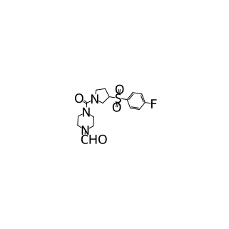 O=CN1CCN(C(=O)N2CCC(S(=O)(=O)c3ccc(F)cc3)C2)CC1